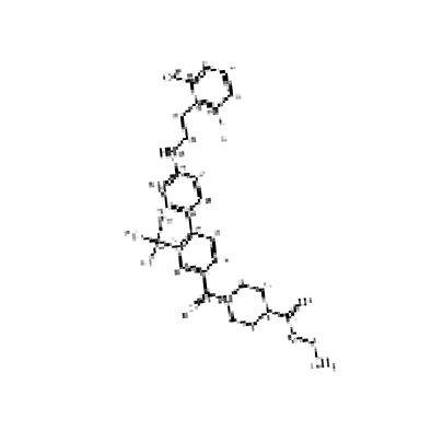 CCOC(=O)C1CCN(C(=O)c2ccc(-c3ccc(NCCc4c(F)cccc4Cl)nc3)c(C(F)(F)F)c2)CC1